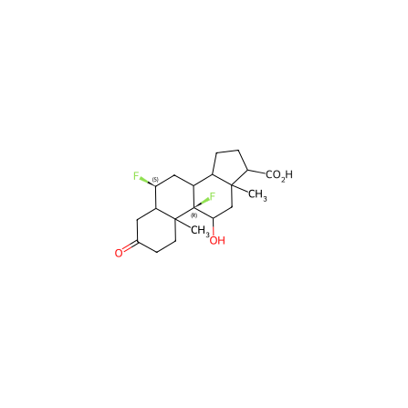 CC12CC(O)[C@@]3(F)C(C[C@H](F)C4CC(=O)CCC43C)C1CCC2C(=O)O